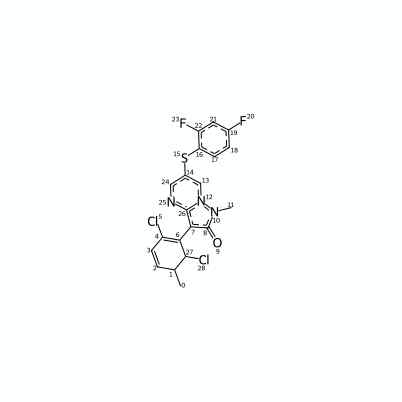 CC1C=CC(Cl)=C(c2c(=O)n(C)n3cc(Sc4ccc(F)cc4F)cnc23)C1Cl